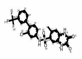 Cc1cc2[nH]c(=O)c(=O)[nH]c2cc1S(=O)(=O)Nc1ccc(-c2cccc(C(F)(F)F)c2)c(Cl)c1